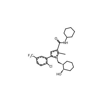 Cc1c(C(=O)NC2CCCCC2)cc(-c2cc(C(F)(F)F)ccc2Cl)n1C[C@H]1CCCC[C@H]1O